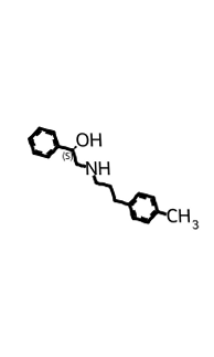 Cc1ccc(CCCNC[C@@H](O)c2ccccc2)cc1